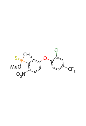 COP(C)(=S)c1cc(Oc2ccc(C(F)(F)F)cc2Cl)ccc1[N+](=O)[O-]